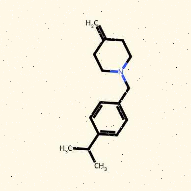 C=C1CCN(Cc2ccc(C(C)C)cc2)CC1